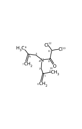 C=C(C)CN(CC(=C)C)C(=O)C(Cl)Cl